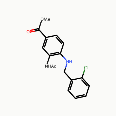 COC(=O)c1ccc(NCc2ccccc2Cl)c(NC(C)=O)c1